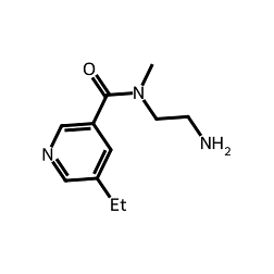 CCc1cncc(C(=O)N(C)CCN)c1